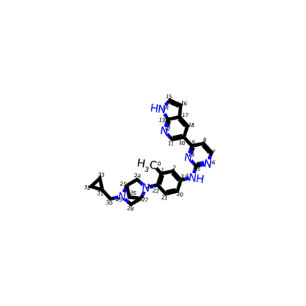 Cc1cc(Nc2nccc(-c3cnc4[nH]ccc4c3)n2)ccc1N1CC2CC1CN2CC1CC1